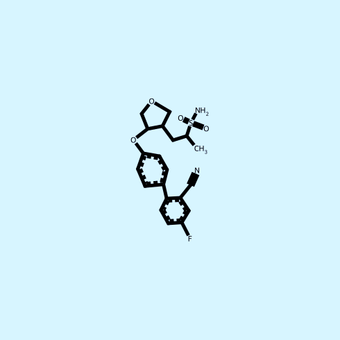 CC(CC1COCC1Oc1ccc(-c2ccc(F)cc2C#N)cc1)S(N)(=O)=O